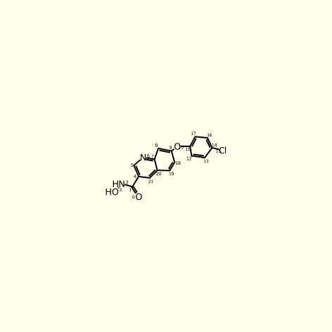 O=C(NO)c1cnc2cc(Oc3ccc(Cl)cc3)ccc2c1